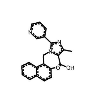 Cc1ccc2ccccc2c1Cn1c(-c2cccnc2)nc(C)c1C(=O)O